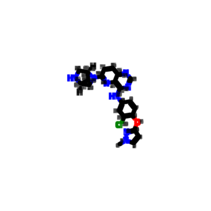 Cn1ccc(Oc2ccc(Nc3ncnc4ccc(N5C[C@@H]6C[C@H]5CN6)nc34)cc2Cl)n1